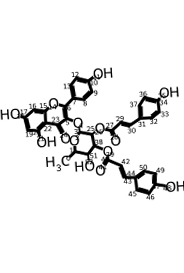 CC1O[C@@H](Oc2c(-c3ccc(O)cc3)oc3cc(O)cc(O)c3c2=O)[C@@H](OC(=O)/C=C/c2ccc(O)cc2)C(OC(=O)/C=C/c2ccc(O)cc2)[C@H]1O